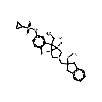 CCC1(c2cc(NS(=O)(=O)C3CC3)ccc2F)[C@@H]2CN(CC3(OC)Cc4ccccc4C3)C[C@@H]21.Cl